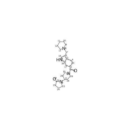 O=C(c1ccc2c(CN3CCCCC3)c[nH]c2c1)N1CCC(N2CCCC2=O)CC1